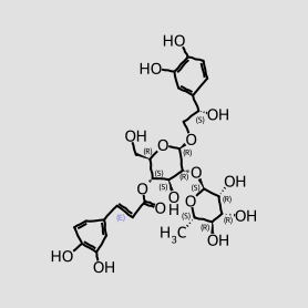 C[C@@H]1O[C@@H](O[C@H]2[C@H](OC[C@@H](O)c3ccc(O)c(O)c3)O[C@H](CO)[C@@H](OC(=O)/C=C/c3ccc(O)c(O)c3)[C@@H]2O)[C@H](O)[C@H](O)[C@H]1O